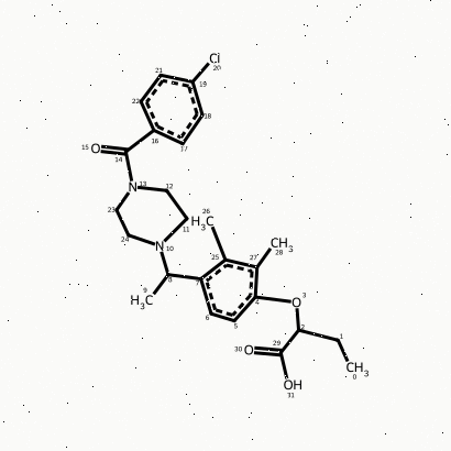 CCC(Oc1ccc(C(C)N2CCN(C(=O)c3ccc(Cl)cc3)CC2)c(C)c1C)C(=O)O